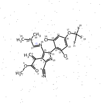 C=C(C(=O)OC)c1c(C#N)nn(-c2c(Cl)cc(OC(F)(F)F)cc2Cl)c1/N=C/N(C)C